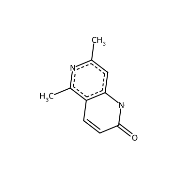 Cc1cc2c(c(C)n1)C=CC(=O)[N]2